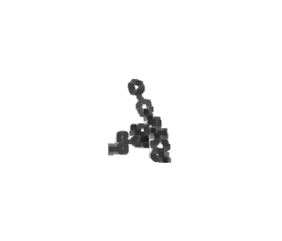 Cn1ccc2cc(Nc3c(C(=O)N4CCC(c5ccccc5)CC4)cnc4c(C(=O)O)cnn34)ccc21